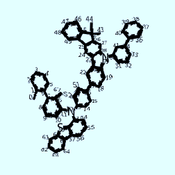 Cc1ccccc1-c1cccc(N(c2ccc(-c3ccc4c(c3)c3cc5c(cc3n4-c3cccc(-c4ccccc4)c3)C(C)(C)c3ccccc3-5)cc2)c2cccc3c2sc2ccccc23)c1C